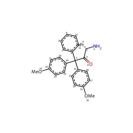 CCC[C@H](N)C(=O)C(c1ccccc1)(c1ccc(OC)cc1)c1ccc(OC)cc1